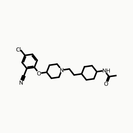 CC(=O)NC1CCC(CCN2CCC(Oc3ccc(Cl)cc3C#N)CC2)CC1